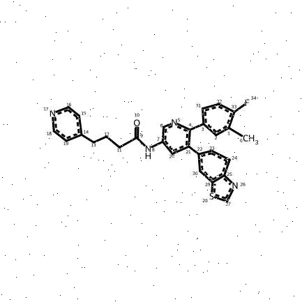 Cc1cc(-c2ncc(NC(=O)CCCc3ccncc3)cc2-c2ccc3ncsc3c2)ccc1F